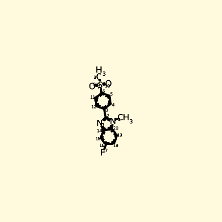 Cn1c(-c2ccc(S(C)(=O)=O)cc2)nc2cc(F)ccc21